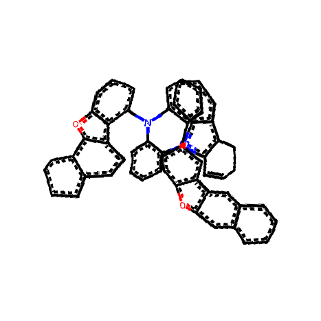 C1=Cc2c(c3ccccc3n2-c2ccccc2N(c2ccccc2-c2ccc3oc4cc5ccccc5cc4c3c2)c2cccc3oc4c5ccccc5ccc4c23)CC1